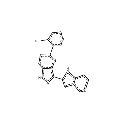 Cc1ccncc1-c1ccc2[nH]nc(-c3nc4cnccc4[nH]3)c2n1